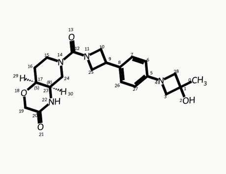 CC1(O)CN(c2ccc(C3CN(C(=O)N4CC[C@@H]5OCC(=O)N[C@@H]5C4)C3)cc2)C1